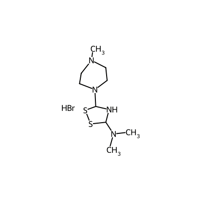 Br.CN1CCN(C2NC(N(C)C)SS2)CC1